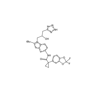 CC(C)(C)c1cc2cc(NC(=O)C3(c4ccc5c(c4)OC(F)(F)O5)CC3)ccc2n1CC(O)Cc1nn[nH]n1